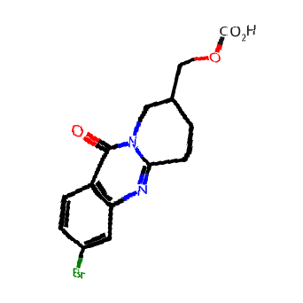 O=C(O)OCC1CCc2nc3cc(Br)ccc3c(=O)n2C1